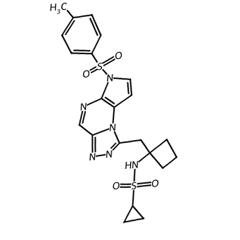 Cc1ccc(S(=O)(=O)n2ccc3c2ncc2nnc(CC4(NS(=O)(=O)C5CC5)CCC4)n23)cc1